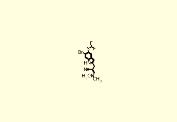 CN(C)/C=C(\C#N)Cc1cc2cc(SC(F)F)c(Br)cc2[nH]1